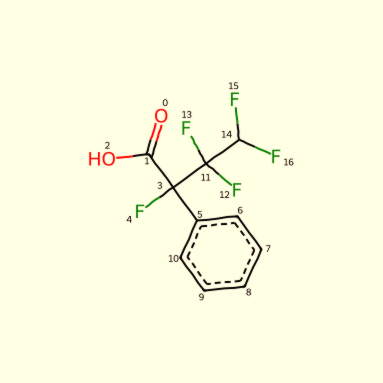 O=C(O)C(F)(c1ccccc1)C(F)(F)C(F)F